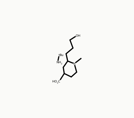 CC(C)(C)N.CN1CCC(C(=O)O)CC1CCCO